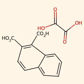 O=C(O)C(=O)O.O=C(O)c1ccc2ccccc2c1C(=O)O